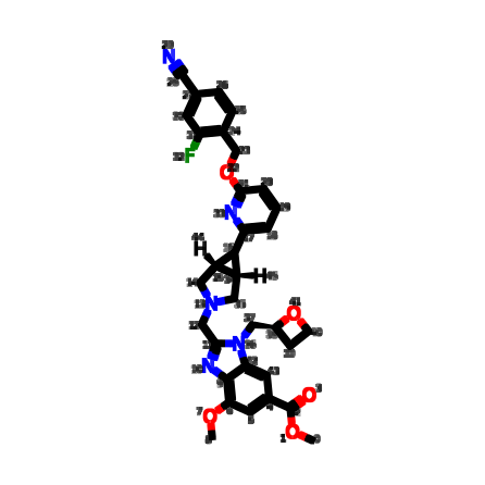 COC(=O)c1cc(OC)c2nc(CN3C[C@@H]4C(c5cccc(OCc6ccc(C#N)cc6F)n5)[C@@H]4C3)n(C[C@@H]3CCO3)c2c1